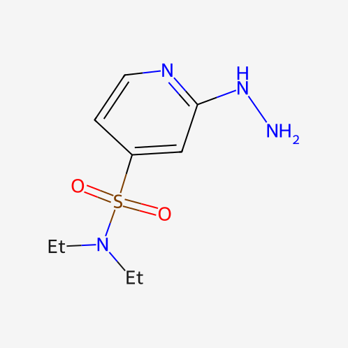 CCN(CC)S(=O)(=O)c1ccnc(NN)c1